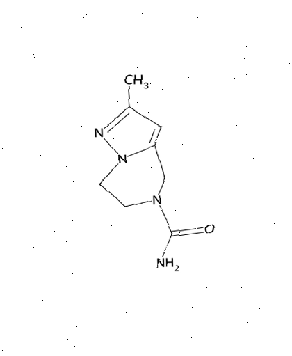 Cc1cc2n(n1)CCN(C(N)=O)C2